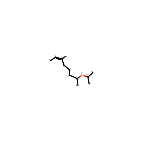 CC=C(C)CCCC(C)OC(C)C